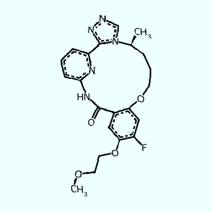 COCCOc1cc2c(cc1F)OCCC[C@H](C)n1cnnc1-c1cccc(n1)NC2=O